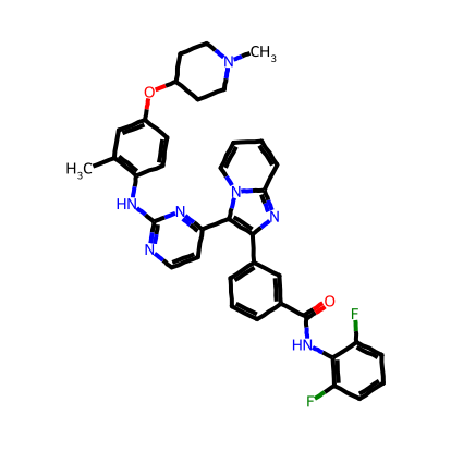 Cc1cc(OC2CCN(C)CC2)ccc1Nc1nccc(-c2c(-c3cccc(C(=O)Nc4c(F)cccc4F)c3)nc3ccccn23)n1